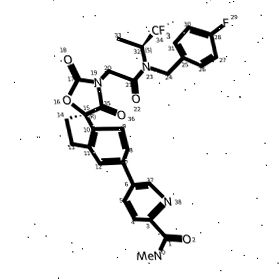 CNC(=O)c1ccc(-c2ccc3c(c2)CC[C@@]32OC(=O)N(CC(=O)N(Cc3ccc(F)cc3)[C@@H](C)C(F)(F)F)C2=O)cn1